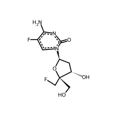 Nc1nc(=O)n([C@H]2C[C@H](O)[C@](CO)(CF)O2)cc1F